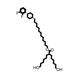 O=C(OCCCCCCCCCCCCC[C@H]1CC[C@H](c2cccc(F)c2F)CC1)C(CCCCCCO)CCCCCCO